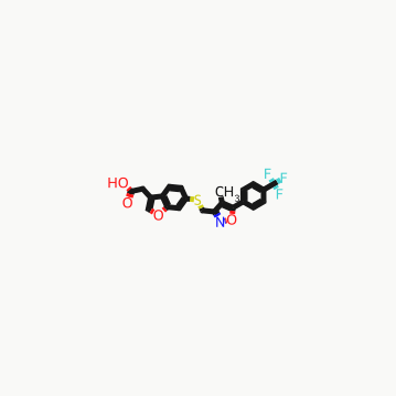 Cc1c(CSc2ccc3c(CC(=O)O)coc3c2)noc1-c1ccc(C(F)(F)F)cc1